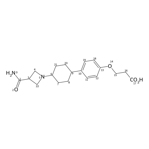 NC(=O)C1CN(C2CCC(c3ccc(OCCC(=O)O)cc3)CC2)C1